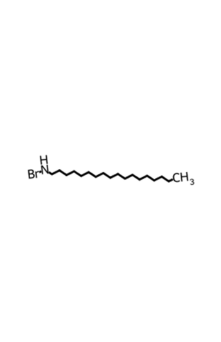 CCCCCCCCCCCCCCCCCCNBr